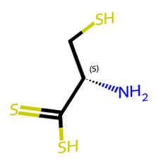 N[C@@H](CS)C(=S)S